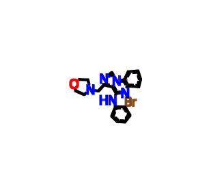 Brc1ccccc1Nc1nc2ccccc2n2cnc(CN3CCOCC3)c12